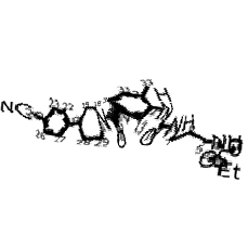 CCS(=O)(=O)NCCCNC(=O)Nc1cc(C(=O)N2CCC(c3ccc(C#N)cc3)CC2)ccc1C